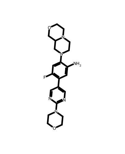 Nc1cc(-c2cnc(N3CCOCC3)nc2)c(F)cc1N1CCN2CCOCC2C1